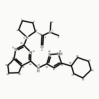 CN(C)C(=O)[C@H]1CCCN1c1nc2c(c(Nc3cc(C4CCCCC4)[nH]n3)n1)CCC2